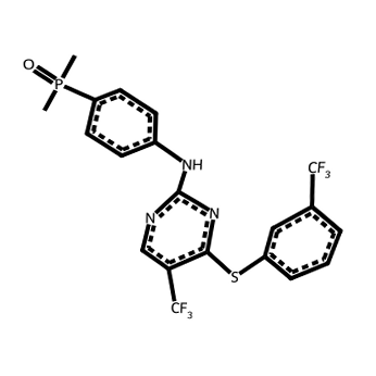 CP(C)(=O)c1ccc(Nc2ncc(C(F)(F)F)c(Sc3cccc(C(F)(F)F)c3)n2)cc1